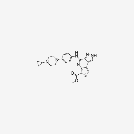 COC(=O)c1scc2c1nc(Nc1ccc(N3CCN(C4CC4)CC3)cc1)c1n[nH]cc12